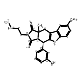 COc1ccc2[nH]c3c(c2c1)C[C@@]1(C)C(=O)N(CCNC(C)(C)C)C(=O)N1[C@@H]3c1cccc(O)c1